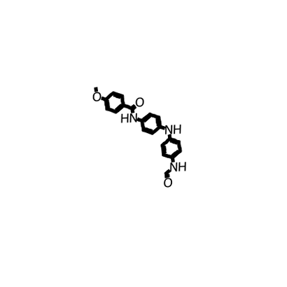 COc1ccc(C(=O)Nc2ccc(Nc3ccc(NC=O)cc3)cc2)cc1